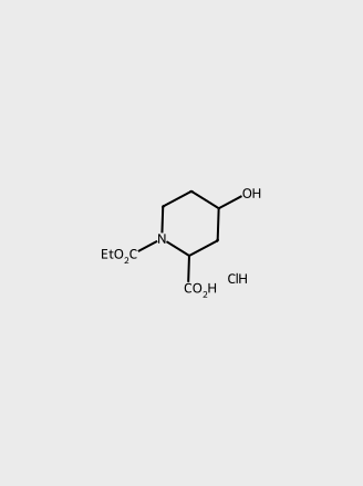 CCOC(=O)N1CCC(O)CC1C(=O)O.Cl